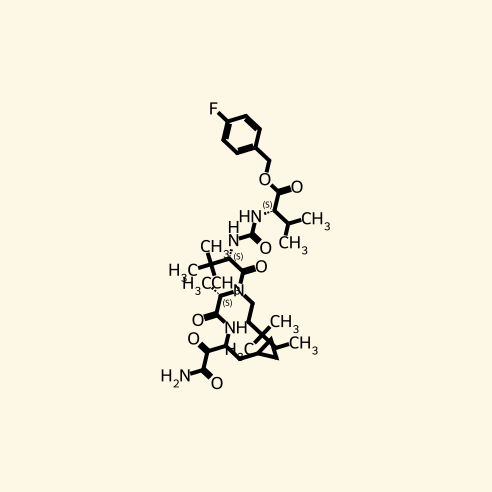 CCC(C)(C)CCN(C(=O)[C@@H](NC(=O)N[C@H](C(=O)OCc1ccc(F)cc1)C(C)C)C(C)(C)C)[C@@H](C)C(=O)NC(CC1CC1)C(=O)C(N)=O